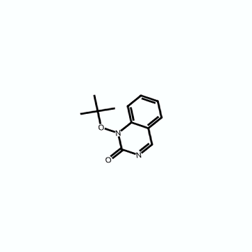 CC(C)(C)On1c(=O)ncc2ccccc21